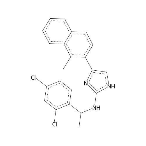 Cc1c(-c2c[nH]c(NC(C)c3ccc(Cl)cc3Cl)n2)ccc2ccccc12